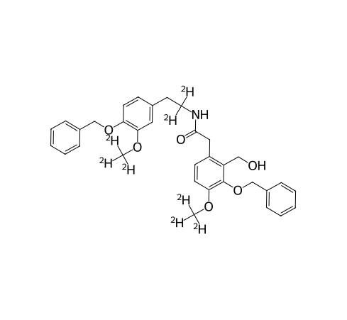 [2H]C([2H])(Cc1ccc(OCc2ccccc2)c(OC([2H])([2H])[2H])c1)NC(=O)Cc1ccc(OC([2H])([2H])[2H])c(OCc2ccccc2)c1CO